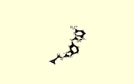 Cc1ccc2nnc(Sc3ccc4nc(NC(=O)C5CC5)sc4c3)n2n1